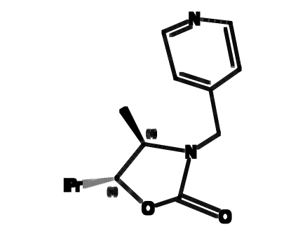 CC(C)[C@H]1OC(=O)N(Cc2ccncc2)[C@@H]1C